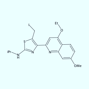 CCOc1cc(-c2nc(NC(C)C)sc2CI)nc2cc(OC)ccc12